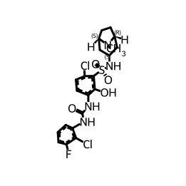 CN1[C@@H]2CC[C@H]1C[C@H](NS(=O)(=O)c1c(Cl)ccc(NC(=O)Nc3cccc(F)c3Cl)c1O)C2